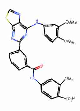 COc1ccc(Nc2nc(-c3cccc(C(=O)Nc4ccc(C(=O)O)c(OC)c4)c3)nc3scnc23)cc1OC